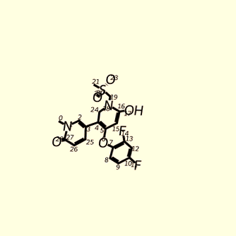 Cn1cc(C2=C(Oc3ccc(F)cc3F)C=C(O)N(CS(C)(=O)=O)C2)ccc1=O